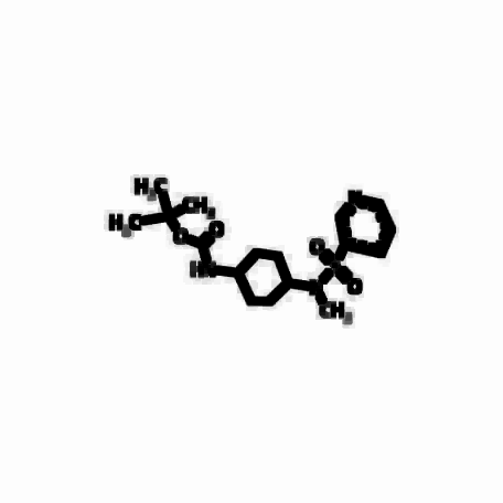 CN(C1CCC(NC(=O)OC(C)(C)C)CC1)S(=O)(=O)c1cccnc1